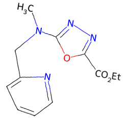 CCOC(=O)c1nnc(N(C)Cc2ccccn2)o1